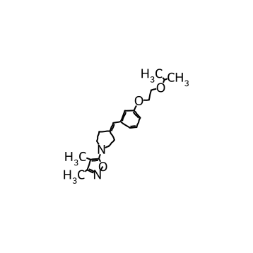 Cc1noc(N2CCC(=Cc3cccc(OCCOC(C)C)c3)CC2)c1C